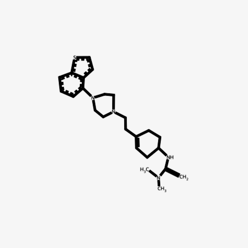 C=C(NC1CC=C(CCN2CCN(c3cccc4sccc34)CC2)CC1)N(C)C